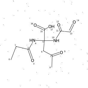 CCC(=O)NC(CC(C)=O)(NC(=O)C=O)C(=O)O